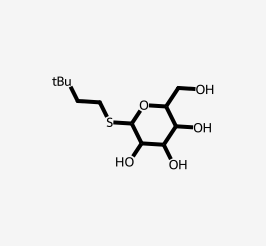 CC(C)(C)CCSC1OC(CO)C(O)C(O)C1O